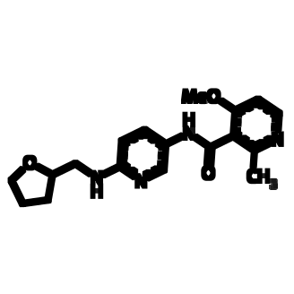 COc1ccnc(C)c1C(=O)Nc1ccc(NCC2CCCO2)nc1